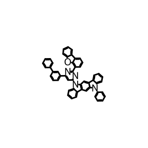 c1ccc(-c2cccc(-c3cc(-n4c5ccccc5c5cc6c(cc54)c4ccccc4n6-c4ccccc4)nc(-c4cccc5c4oc4ccccc45)n3)c2)cc1